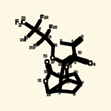 C=C(C)C(=O)OC1C2CC3C1OC(=O)C3(C(=O)OCC(F)(F)C(F)(F)C(F)(F)F)C2